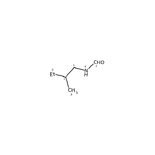 [CH2]CC(C)CNC=O